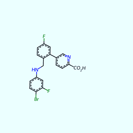 O=C(O)c1ccc(-c2cc(F)ccc2CNc2ccc(Br)c(F)c2)cn1